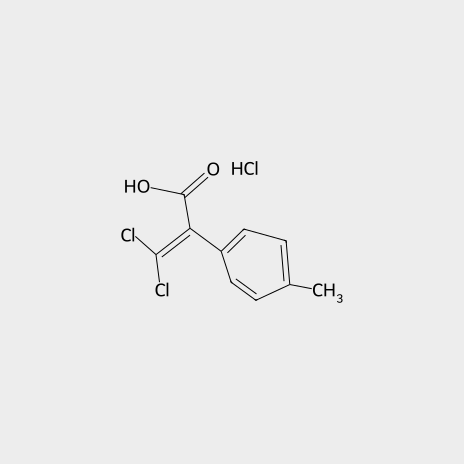 Cc1ccc(C(C(=O)O)=C(Cl)Cl)cc1.Cl